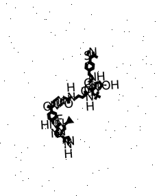 Cc1ncsc1-c1ccc(CNC(=O)[C@@H]2C[C@@H](O)CN2C(=O)[C@@H](NC(=O)CCCNC(=O)CN2CCN(C(=O)c3ccc(Nc4nc(C5CC5)cn5c(-c6cn[nH]c6)cnc45)c(F)c3)CC2)C(C)(C)C)cc1